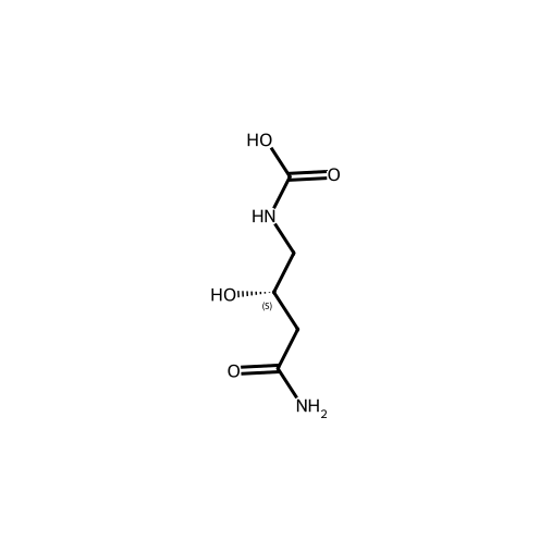 NC(=O)C[C@H](O)CNC(=O)O